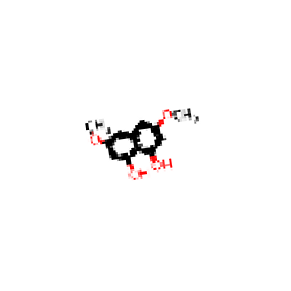 COc1cc(O)c2c(O)cc(OC)cc2c1